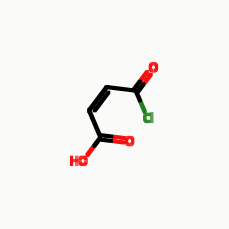 O=C(O)/C=C\C(=O)Cl